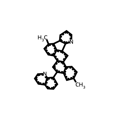 Cc1ccc2c(c1)c(-c1cccc3cccnc13)cc1c3ccc(C)c4c3c(cc21)-c1ncccc1-4